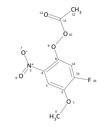 COc1cc([N+](=O)[O-])c(OOC(C)=O)cc1F